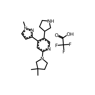 Cn1ccc(-c2cc(N3CCC(C)(C)C3)ncc2C2CCNC2)n1.O=C(O)C(F)(F)F